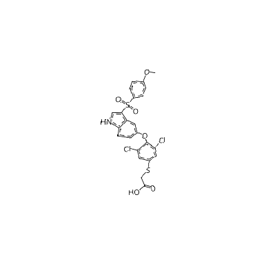 COc1ccc(S(=O)(=O)c2c[nH]c3ccc(Oc4c(Cl)cc(SCC(=O)O)cc4Cl)cc23)cc1